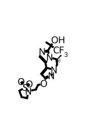 C[C@H]1Cn2nc(OCCN3CCCS3(=O)=O)cc2-c2cnc(C(C)(O)C(F)(F)F)n21